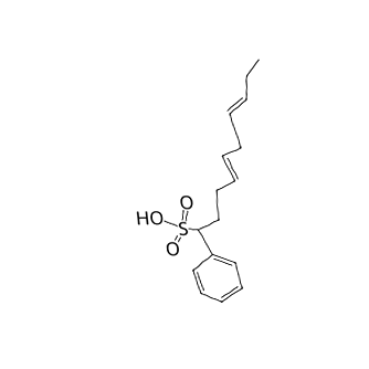 CCC=CCC=CCCC(c1ccccc1)S(=O)(=O)O